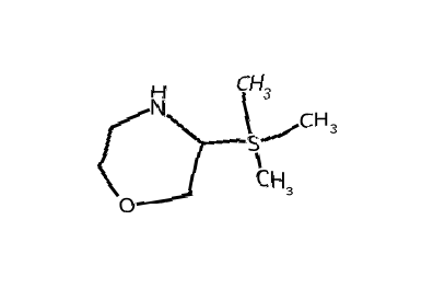 CS(C)(C)C1COCCN1